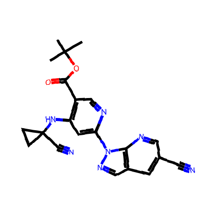 CC(C)(C)OC(=O)c1cnc(-n2ncc3cc(C#N)cnc32)cc1NC1(C#N)CC1